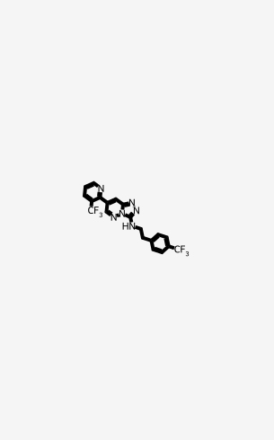 FC(F)(F)c1ccc(CCNc2nnc3cc(-c4ncccc4C(F)(F)F)cnn23)cc1